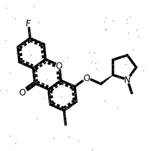 Cc1cc(OC[C@H]2CCCN2C)c2oc3cc(F)ccc3c(=O)c2c1